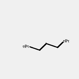 [CH2]CCC[CH]CCCC